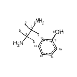 CC(C)(N)C(C)(C)N.Oc1ccccc1